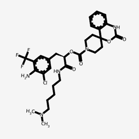 CN(C)CCCCCNC(=O)[C@@H](Cc1cc(Cl)c(N)c(C(F)(F)F)c1)OC(=O)N1CCC2(CC1)OC(=O)Nc1ccccc12